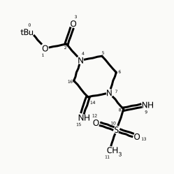 CC(C)(C)OC(=O)N1CCN(C(=N)S(C)(=O)=O)C(=N)C1